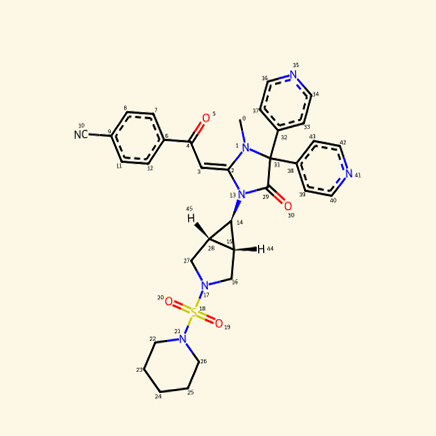 CN1C(=CC(=O)c2ccc(C#N)cc2)N([C@H]2[C@@H]3CN(S(=O)(=O)N4CCCCC4)C[C@@H]32)C(=O)C1(c1ccncc1)c1ccncc1